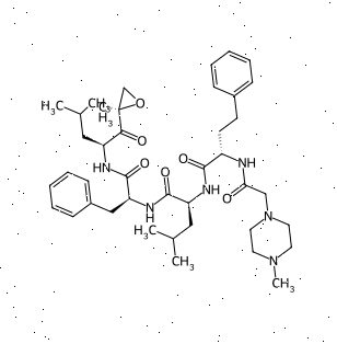 CC(C)C[C@H](NC(=O)[C@H](CCc1ccccc1)NC(=O)CN1CCN(C)CC1)C(=O)N[C@@H](Cc1ccccc1)C(=O)N[C@@H](CC(C)C)C(=O)[C@@]1(C)CO1